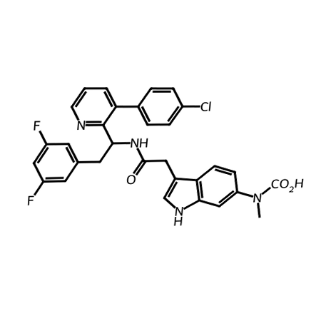 CN(C(=O)O)c1ccc2c(CC(=O)NC(Cc3cc(F)cc(F)c3)c3ncccc3-c3ccc(Cl)cc3)c[nH]c2c1